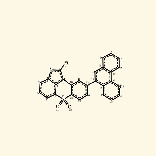 CCc1nc2cccc3c2n1-c1cc(-c2cc4ccccc4c4ncccc24)ccc1S3(=O)=O